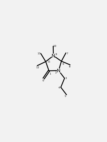 C=C1N(CCC)C(C)(C)N(C)C1(C)C